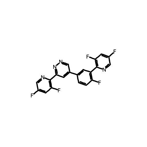 Fc1cnc(-c2cc(-c3ccc(F)c(-c4ncc(F)cc4F)c3)cnn2)c(F)c1